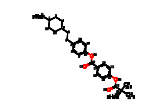 CCCCCCCCCC1CCC(CCc2ccc(OC(=O)c3ccc(OC(=O)C(C)(CCCCCC)C(F)(F)F)cc3)cc2)CC1